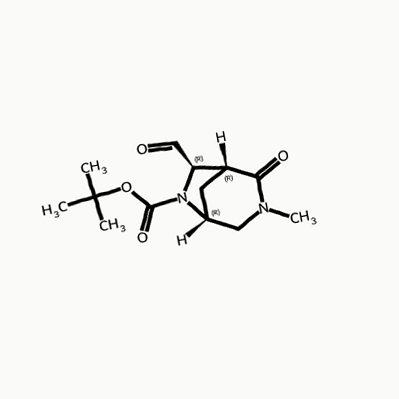 CN1C[C@H]2C[C@@H](C1=O)[C@H](C=O)N2C(=O)OC(C)(C)C